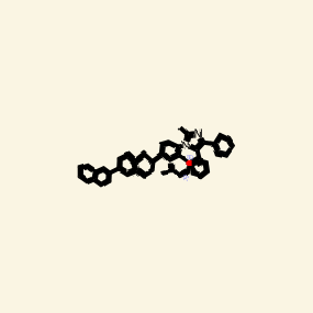 C=C(C)/C=C\C(=C/C)c1cc(C2C=c3ccc(-c4ccc5ccccc5c4)cc3=CC2)ccc1-n1c(C)nc(-c2ccccc2)c1-c1ccccc1